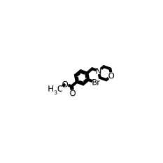 COC(=O)c1ccc(CN2CCOCC2)c(Br)c1